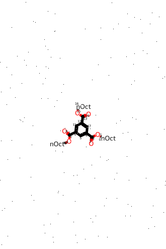 CCCCCCCCOC(=O)c1cc(C(=O)OCCCCCCCC)cc(C(=O)OCCCCCCCC)c1